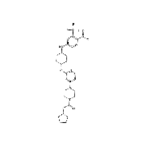 O=C(OC1CCCC1)N1CCN(c2ccnc(O[C@H]3CC[C@H](Nc4ccc([N+](=O)[O-])c(C(F)(F)F)c4)CC3)c2)CC1